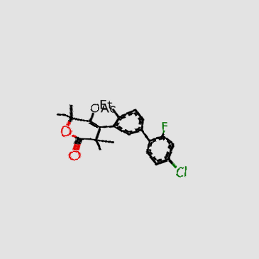 CCc1ccc(-c2ccc(Cl)cc2F)cc1C1=C(OC(C)=O)C(C)(C)OC(=O)C1(C)C